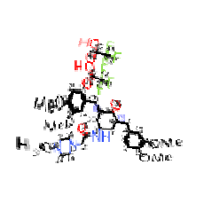 COc1ccc(/C=C2\CC(NC(=O)CN3CCN(C)CC3)C/C(=C\c3ccc(OC)c(OC)c3)C2=O)cc1OC.O=C(O)C(F)(F)F.O=C(O)C(F)(F)F